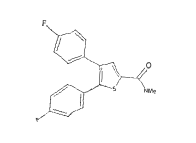 CNC(=O)c1cc(-c2ccc(F)cc2)c(-c2ccc(F)cc2)s1